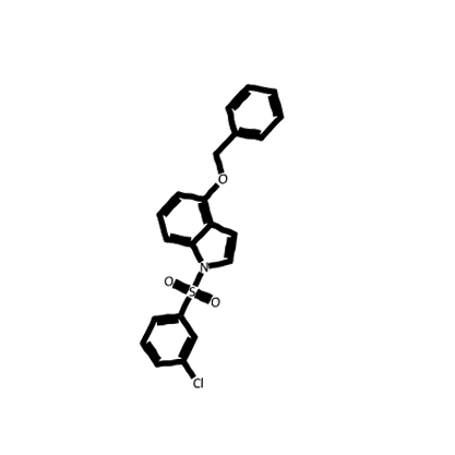 O=S(=O)(c1cccc(Cl)c1)n1ccc2c(OCc3ccccc3)cccc21